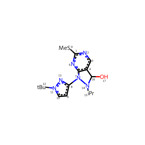 CSc1ncc2c(n1)N(c1ccn(C(C)(C)C)n1)N(C(C)C)C2O